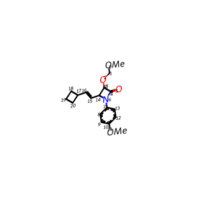 COCO[C@H]1C(=O)N(c2ccc(OC)cc2)C1C=CC1CCC1